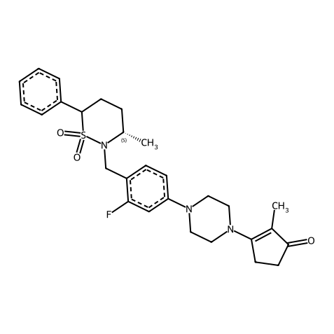 CC1=C(N2CCN(c3ccc(CN4[C@@H](C)CCC(c5ccccc5)S4(=O)=O)c(F)c3)CC2)CCC1=O